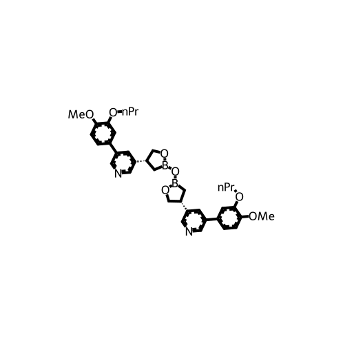 CCCOc1cc(-c2cncc([C@@H]3COB(OB4C[C@H](c5cncc(-c6ccc(OC)c(OCCC)c6)c5)CO4)C3)c2)ccc1OC